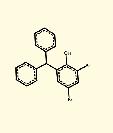 Oc1c(Br)cc(Br)cc1C(c1ccccc1)c1ccccc1